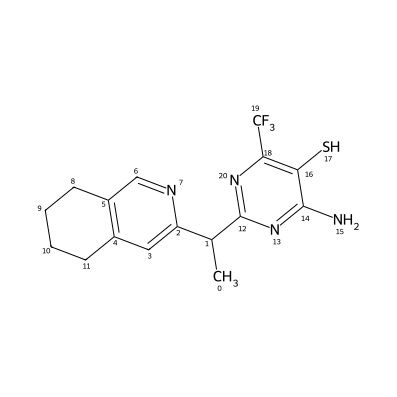 CC(c1cc2c(cn1)CCCC2)c1nc(N)c(S)c(C(F)(F)F)n1